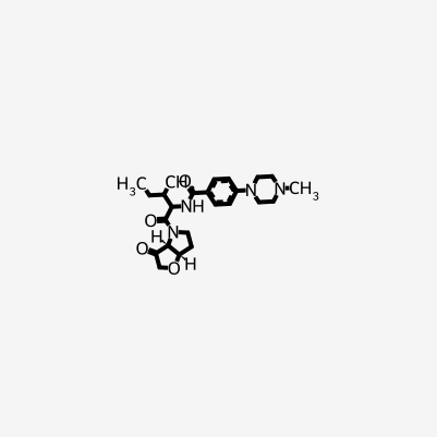 CCC(C)C(NC(=O)c1ccc(N2CCN(C)CC2)cc1)C(=O)N1CC[C@H]2OCC(=O)[C@H]21